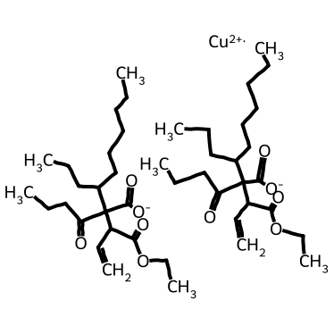 C=CC(C(=O)OCC)C(C(=O)[O-])(C(=O)CCC)C(CCC)CCCCCC.C=CC(C(=O)OCC)C(C(=O)[O-])(C(=O)CCC)C(CCC)CCCCCC.[Cu+2]